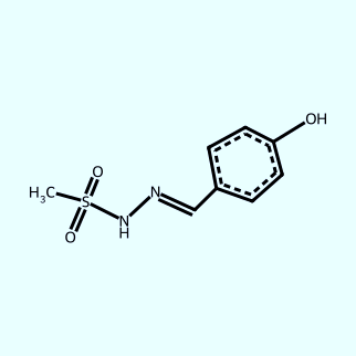 CS(=O)(=O)NN=Cc1ccc(O)cc1